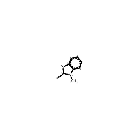 CN1c2ccccc2SC1F